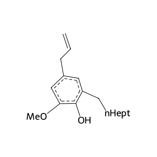 C=CCc1cc(CCCCCCCC)c(O)c(OC)c1